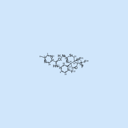 Cc1cnc(C(=O)Nc2ccc(F)c([C@]34CO[C@H](C(F)(F)F)[C@H]3CSC(N)=N4)c2)cn1